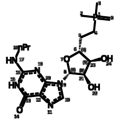 C=P(C)(C)CC[C@H]1O[C@@H](n2cnc3c(=O)[nH]c(NCCC)nc32)[C@H](O)[C@@H]1O